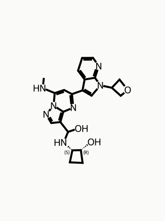 CNc1cc(-c2cn(C3COC3)c3ncccc23)nc2c(C(O)N[C@H]3CC[C@H]3O)cnn12